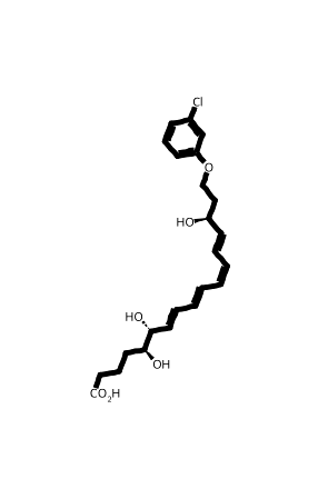 O=C(O)CCC[C@H](O)[C@H](O)/C=C/C=C/C=C\C=C\[C@@H](O)CCOc1cccc(Cl)c1